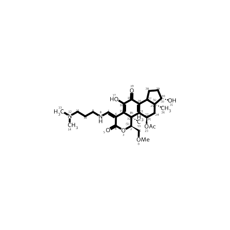 COC[C@H]1OC(=O)C(=CNCCCN(C)C)C2=C(O)C(=O)C3=C([C@H](OC(C)=O)C[C@@]4(C)C3CC[C@@H]4O)[C@]21C